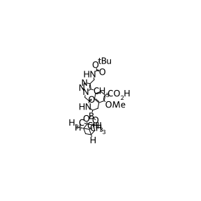 COc1c(CC(NC(=O)Cn2nnc(CNC(=O)OC(C)(C)C)c2C)B2O[C@@H]3C[C@@H]4C[C@@H](C4(C)C)[C@]3(C)O2)cccc1C(=O)O